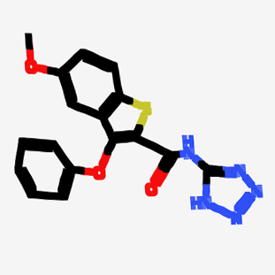 COc1ccc2sc(C(=O)Nc3nnn[nH]3)c(Oc3ccccc3)c2c1